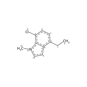 CCc1ccc(Cl)c2c1ccn2C